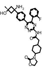 C[C@]1(O)C[C@@](N)(c2ccc(-c3nnc(NC(=O)CC4CCC(N5CCOC5=O)CC4)nc3-c3ccccc3F)cc2)C1